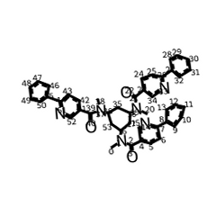 CN(C(=O)c1ccc(-c2ccccc2)nc1)C1CC(N(C)C(=O)c2ccc(-c3ccccc3)nc2)CC(N(C)C(=O)c2ccc(-c3ccccc3)nc2)C1